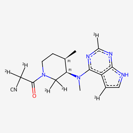 [2H]c1nc(N(C)[C@@H]2[C@H](C)CCN(C(=O)C([2H])([2H])[N+]#[C-])C2([2H])[2H])c2c([2H])c[nH]c2n1